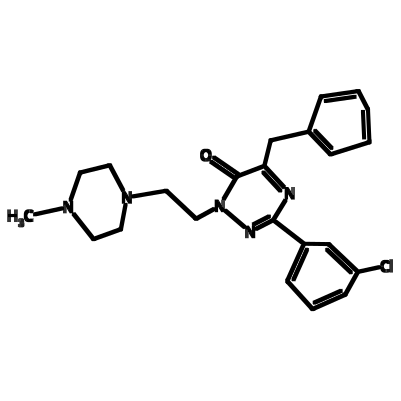 CN1CCN(CCn2nc(-c3cccc(Cl)c3)nc(Cc3ccccc3)c2=O)CC1